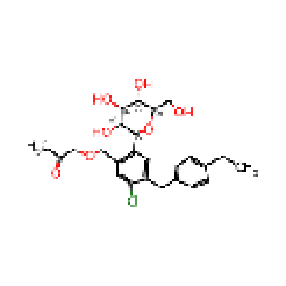 CCc1ccc(Cc2cc([C@@H]3O[C@H](CO)[C@@H](O)[C@H](O)[C@@H]3O)c(COCC(C)=O)cc2Cl)cc1